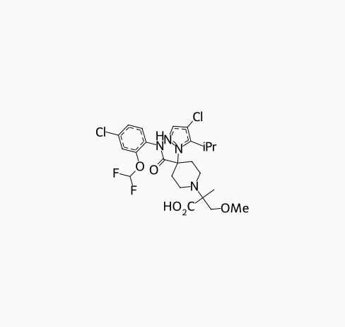 COCC(C)(C(=O)O)N1CCC(C(=O)Nc2ccc(Cl)cc2OC(F)F)(n2ncc(Cl)c2C(C)C)CC1